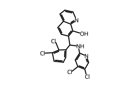 Oc1c(C(Nc2cc(Cl)c(Cl)cn2)c2cccc(Cl)c2Cl)ccc2cccnc12